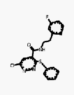 O=C(NCCc1cccc(F)c1)c1cc(Cl)nnc1Sc1ccccc1